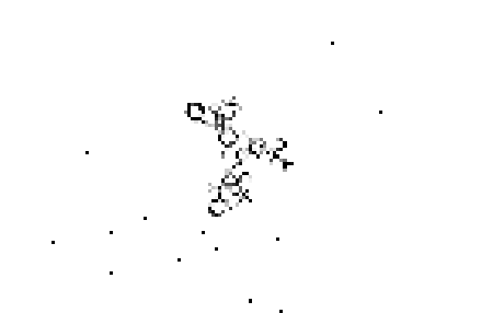 Cc1cc(C[C@@H]2CN(C(=O)OC(C)(C)C)C[C@@H]2OCCN(CC(F)(F)c2ccccn2)C(=O)OC(C)(C)C)nc(N(Cc2ccccc2)C(=O)OC(C)(C)C)c1